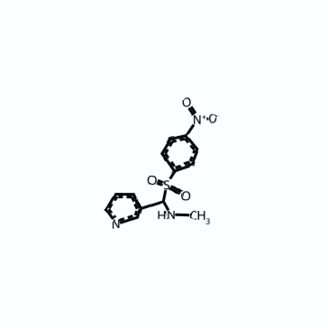 CNC(c1cccnc1)S(=O)(=O)c1ccc([N+](=O)[O-])cc1